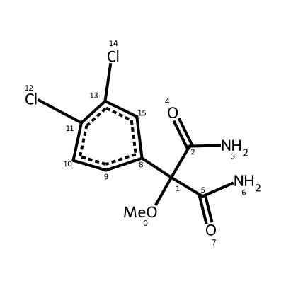 COC(C(N)=O)(C(N)=O)c1ccc(Cl)c(Cl)c1